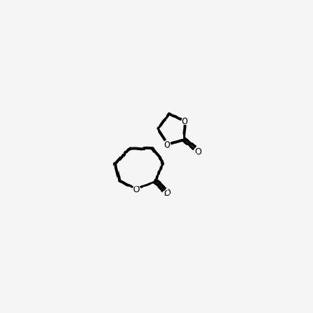 O=C1CCCCCO1.O=C1OCCO1